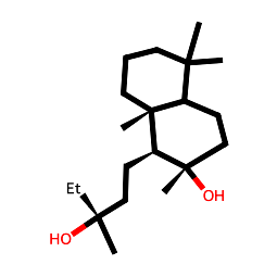 CC[C@@](C)(O)CC[C@@H]1[C@@](C)(O)CCC2C(C)(C)CCC[C@]21C